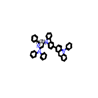 C=C(/C=C(\N=C(/C)c1ccccc1)N(c1ccccc1)c1ccccc1)n1c2ccccc2c2cc(-c3ccc4c(c3)Cc3ccccc3N4c3ccccc3)ccc21